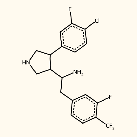 NC(Cc1ccc(C(F)(F)F)c(F)c1)C1CNCC1c1ccc(Cl)c(F)c1